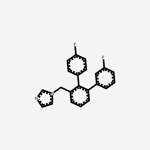 Fc1ccc(-c2c(Cn3ccnc3)cccc2-c2cccc(F)c2)cc1